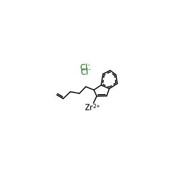 C=CCCCC1[C]([Zr+2])=Cc2ccccc21.[Cl-].[Cl-]